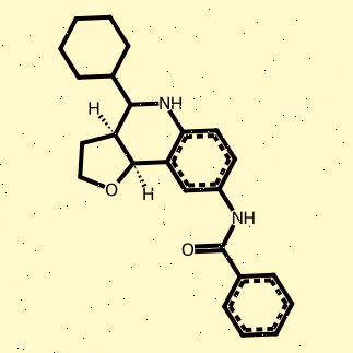 O=C(Nc1ccc2c(c1)[C@H]1OCC[C@H]1C(C1CCCCC1)N2)c1ccccc1